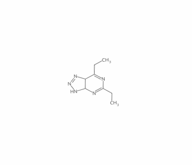 CCC1=NC2NN=NC2C(CC)=N1